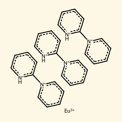 [Eu+3].c1cc[n+](-c2cccc[nH+]2)cc1.c1cc[n+](-c2cccc[nH+]2)cc1.c1cc[n+](-c2cccc[nH+]2)cc1